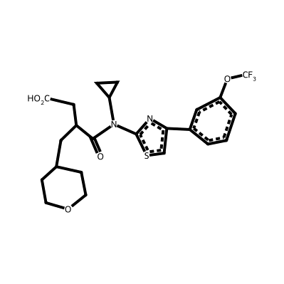 O=C(O)CC(CC1CCOCC1)C(=O)N(c1nc(-c2cccc(OC(F)(F)F)c2)cs1)C1CC1